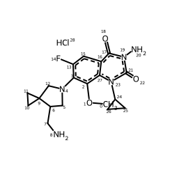 COc1c(N2CC(CN)C3(CC3)C2)c(F)cc2c(=O)n(N)c(=O)n(C3CC3)c12.Cl